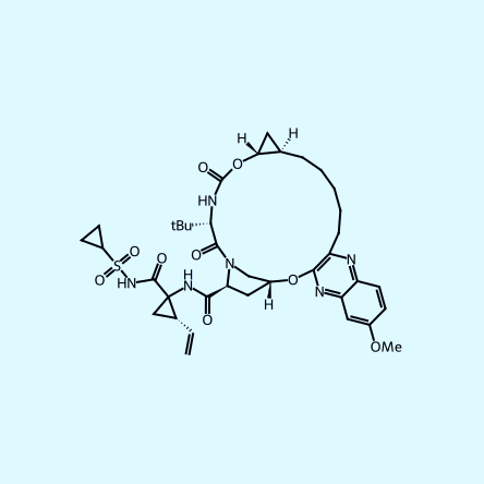 C=C[C@@H]1CC1(NC(=O)[C@@H]1C[C@@H]2CN1C(=O)[C@H](C(C)(C)C)NC(=O)O[C@@H]1C[C@H]1CCCCCc1nc3ccc(OC)cc3nc1O2)C(=O)NS(=O)(=O)C1CC1